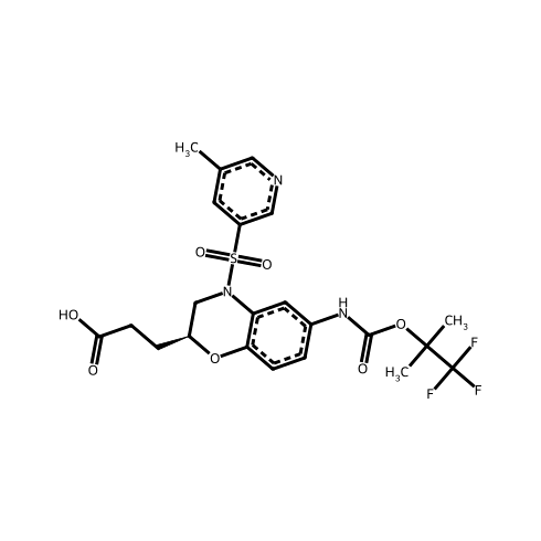 Cc1cncc(S(=O)(=O)N2C[C@H](CCC(=O)O)Oc3ccc(NC(=O)OC(C)(C)C(F)(F)F)cc32)c1